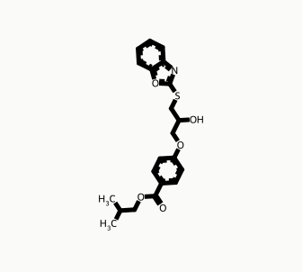 CC(C)COC(=O)c1ccc(OCC(O)CSc2nc3ccccc3o2)cc1